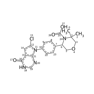 CC1(C)COCC(c2ccc(-n3c(Cl)cc4c(=O)[nH]cnc43)cc2)N1C(=O)O